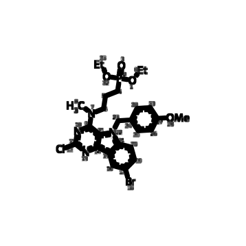 CCOP(=O)(CCCN(C)c1nc(Cl)nc2c3cc(Br)ccc3n(Cc3ccc(OC)cc3)c12)OCC